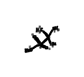 CCCCC(C)([SiH3])S(=O)(=O)OC